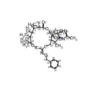 CC[C@H]1OC(=O)[C@@](C)(F)C(=O)[C@H](C)C(C)(C)C(C)(C)OC/C(=N/OCc2ccccc2)CC[C@H]([C@@H](C)/C(=N/C(C)=O)C(C)C)[C@]1(C)O